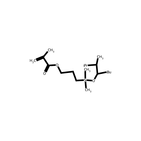 C=C(C)C(=O)OCCC[Si](C)(C)OC(C(C)CC)C(C)C(C)C